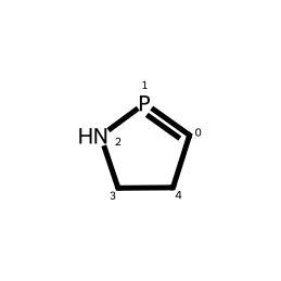 C1=PNCC1